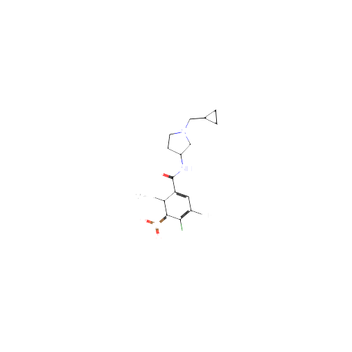 COC1C(C(=O)NC2CCN(CC3CC3)C2)=CC(C)=C(Br)C1=S(=O)=O